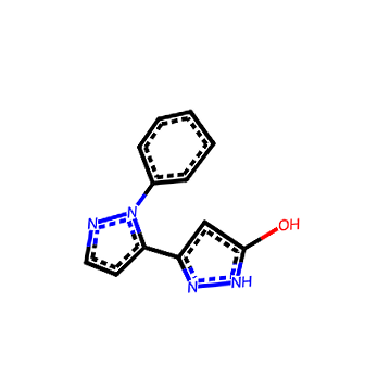 Oc1cc(-c2ccnn2-c2ccccc2)n[nH]1